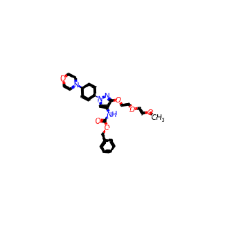 COCCOCCOc1nn([C@H]2CC[C@H](N3CCOCC3)CC2)cc1NC(=O)OCc1ccccc1